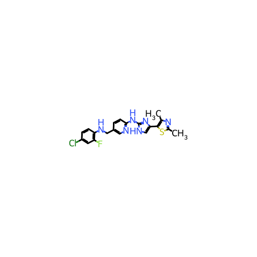 Cc1nc(C)c(-c2c[nH]c(Nc3ccc(CNc4ccc(Cl)cc4F)cn3)n2)s1